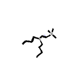 CCCCB(/C=C/[Si](C)(C)C)CCCC